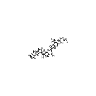 CCC1CN(C(=O)Nc2ccc(CN3CCN(CC)CC3)c(C(F)(F)F)c2)Cc2cc(Nc3c(F)cnc4[nH]c(-c5cnn(C)c5)cc34)cnc21